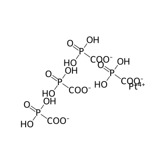 O=C([O-])P(=O)(O)O.O=C([O-])P(=O)(O)O.O=C([O-])P(=O)(O)O.O=C([O-])P(=O)(O)O.[Pt+4]